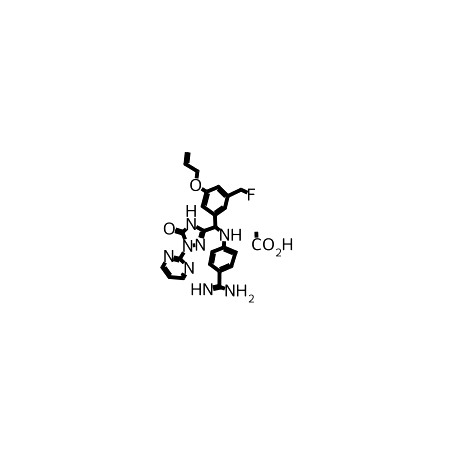 C=CCOc1cc(CF)cc(C(Nc2ccc(C(=N)N)cc2)c2nn(-c3ncccn3)c(=O)[nH]2)c1.CC(=O)O